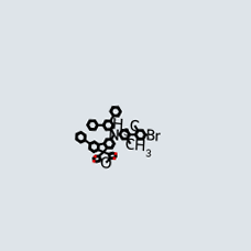 Cc1cc(Br)ccc1-c1ccc(N(c2cc(-c3ccccc3)cc(-c3ccccc3)c2)c2ccc3c(c2)-c2cc(-c4ccccc4)ccc2C32c3ccccc3Oc3ccccc32)cc1C